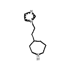 c1cn(CCC2CCCNCC2)cn1